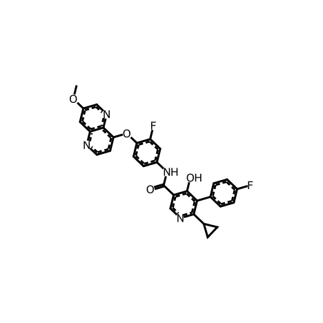 COc1cnc2c(Oc3ccc(NC(=O)c4cnc(C5CC5)c(-c5ccc(F)cc5)c4O)cc3F)ccnc2c1